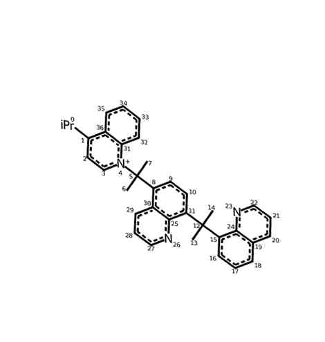 CC(C)c1cc[n+](C(C)(C)c2ccc(C(C)(C)c3cccc4cccnc34)c3ncccc23)c2ccccc12